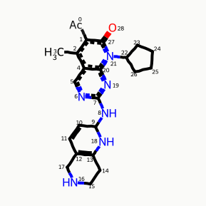 CC(=O)c1c(C)c2cnc(NC3C=CC4=C(CCNC4)N3)nc2n(C2CCCC2)c1=O